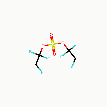 O=S(=O)(OC(F)(F)CF)OC(F)(F)CF